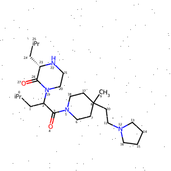 CC(C)CC(C(=O)N1CCC(C)(CCN2CCCC2)CC1)N1CCN[C@@H](CC(C)C)C1=O